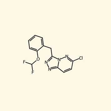 FC(F)Oc1ccccc1Cc1nnc2ccc(Cl)nn12